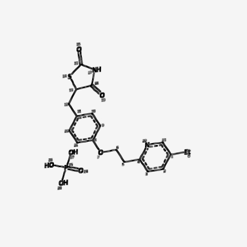 CCc1ccc(CCOc2ccc(CC3SC(=O)NC3=O)cc2)nc1.O=P(O)(O)O